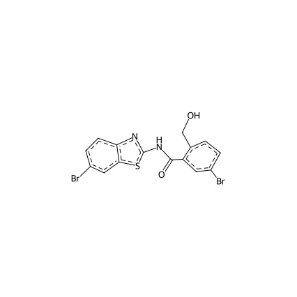 O=C(Nc1nc2ccc(Br)cc2s1)c1cc(Br)ccc1CO